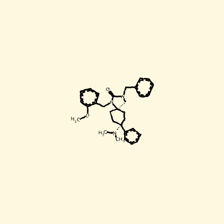 COc1ccccc1CN1C(=O)N(Cc2ccccc2)C[C@]12CC[C@@](c1ccccc1)(N(C)C)CC2